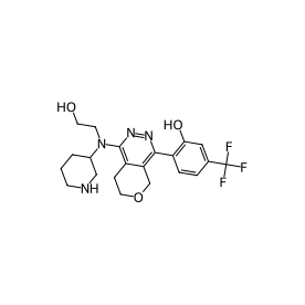 OCCN(c1nnc(-c2ccc(C(F)(F)F)cc2O)c2c1CCOC2)C1CCCNC1